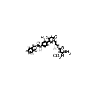 CC1CC(=O)N(CCCNC(=O)C[C@H](N)C(=O)O)N=C1c1ccc(NC(=O)N2Cc3ccncc3C2)cc1